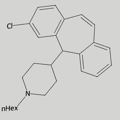 CCCCCCN1CCC(C2c3ccccc3C=Cc3ccc(Cl)cc32)CC1